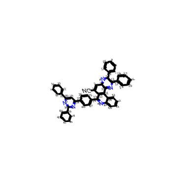 N#Cc1cc2nc(-c3ccccc3)c(-c3ccccc3)nc2c2c1c(-c1ccc(-c3cc(-c4ccccc4)nc(-c4ccccc4)n3)cc1)nc1ccccc12